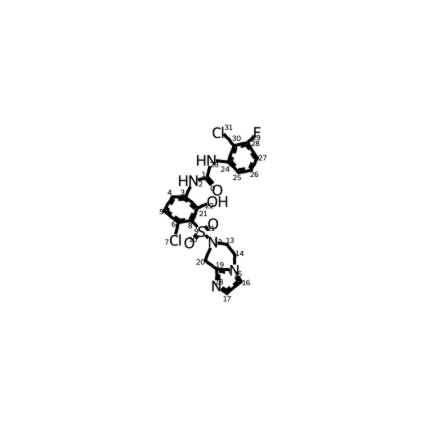 O=C(Nc1ccc(Cl)c(S(=O)(=O)N2CCn3ccnc3C2)c1O)Nc1cccc(F)c1Cl